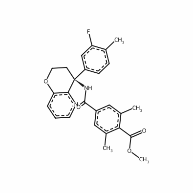 COC(=O)c1c(C)cc(C(=O)N[C@]2(c3ccc(C)c(F)c3)CCOc3cccnc32)cc1C